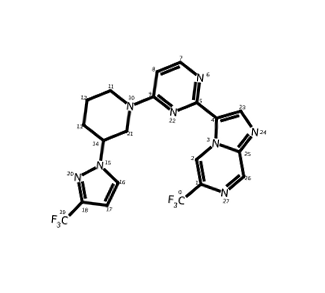 FC(F)(F)c1cn2c(-c3nccc(N4CCCC(n5ccc(C(F)(F)F)n5)C4)n3)cnc2cn1